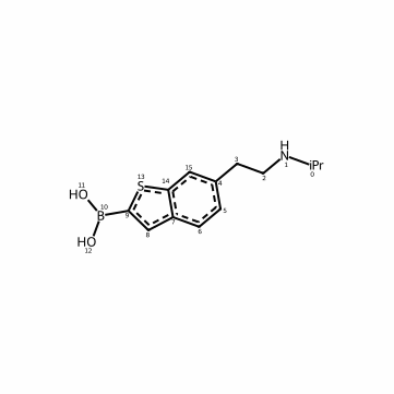 CC(C)NCCc1ccc2cc(B(O)O)sc2c1